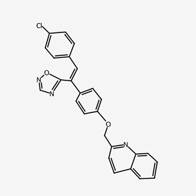 Clc1ccc(/C=C(/c2ccc(OCc3ccc4ccccc4n3)cc2)c2ncno2)cc1